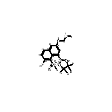 COCOc1cc(B2OC(C)(C)C(C)(C)O2)c2c(S(C)(=O)=O)c(F)ccc2c1